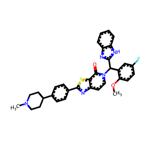 COc1ccc(F)cc1C(c1nc2ccccc2[nH]1)n1ccc2nc(-c3ccc(C4CCN(C)CC4)cc3)sc2c1=O